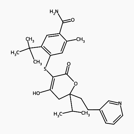 Cc1cc(SC2=C(O)CC(CCc3cccnc3)(C(C)C)OC2=O)c(C(C)(C)C)cc1C(N)=O